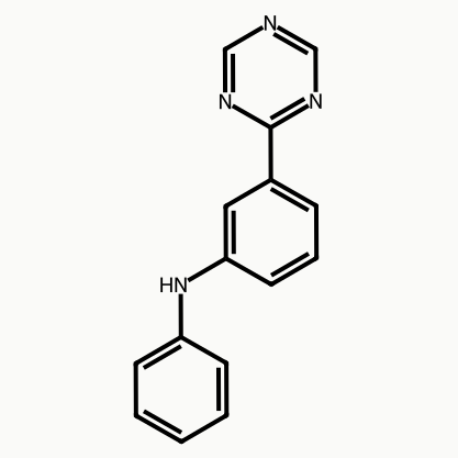 c1ccc(Nc2cccc(-c3ncncn3)c2)cc1